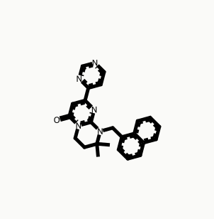 CC1(C)CCn2c(nc(-c3ccncn3)cc2=O)N1Cc1cccc2ccccc12